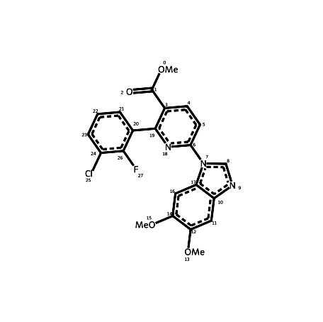 COC(=O)c1ccc(-n2cnc3cc(OC)c(OC)cc32)nc1-c1cccc(Cl)c1F